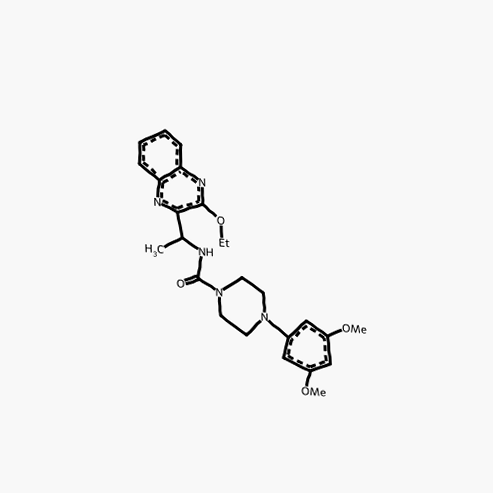 CCOc1nc2ccccc2nc1C(C)NC(=O)N1CCN(c2cc(OC)cc(OC)c2)CC1